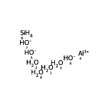 O.O.O.O.[Al+3].[OH-].[OH-].[OH-].[SiH4]